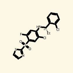 CC[C@H](Nc1cc(F)c(S(=O)(=O)c2n[c]cs2)cc1Cl)c1ccccc1Cl